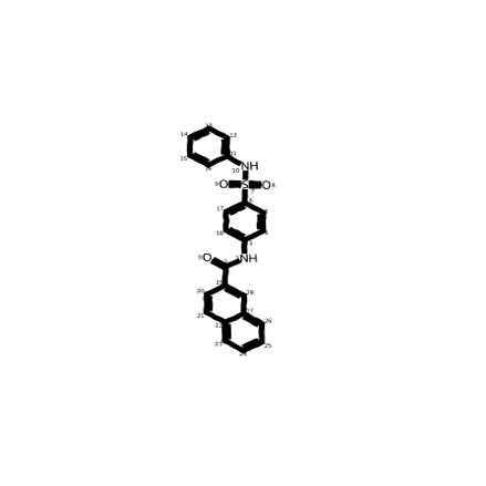 O=C(Nc1ccc(S(=O)(=O)Nc2ccccc2)cc1)c1ccc2ccccc2c1